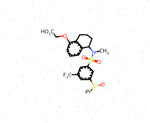 CC(C)[S+]([O-])c1cc(C(F)(F)F)cc(S(=O)(=O)N(C)C2CCCc3c(OCC(=O)O)cccc32)c1